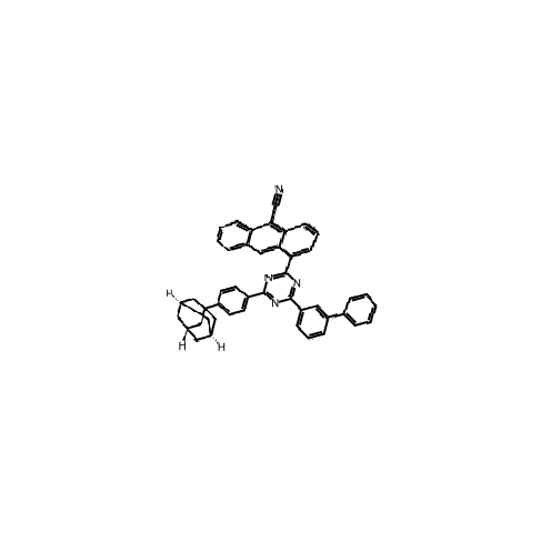 N#Cc1c2ccccc2cc2c(-c3nc(-c4ccc(C56C[C@H]7C[C@@H](C5)C[C@@H](C6)C7)cc4)nc(-c4cccc(-c5ccccc5)c4)n3)cccc12